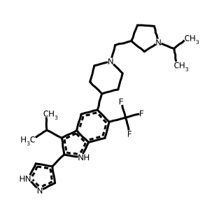 CC(C)c1c(-c2cn[nH]c2)[nH]c2cc(C(F)(F)F)c(C3CCN(CC4CCN(C(C)C)C4)CC3)cc12